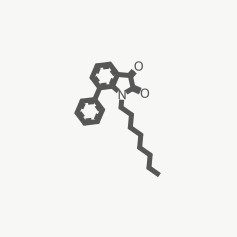 CCCCCCCCN1C(=O)C(=O)c2cccc(-c3ccccc3)c21